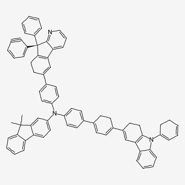 CC1(C)c2ccccc2-c2ccc(N(c3ccc(C4=CC=C(C5=Cc6c(n(C7=CC=CCC7)c7ccccc67)CC5)CC4)cc3)c3ccc(C4=CC5=C(CC4)[C@](c4c#cccc4)(c4ccccc4)c4ncccc45)cc3)cc21